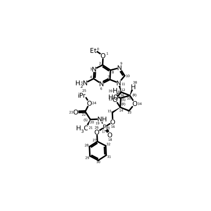 CCOc1nc(N)nc2c1ncn2[C@@H]1O[C@@]2(CO[P@](=O)(N[C@@H](C)C(=O)OC(C)C)Oc3ccccc3)CO[C@@H]1[C@@H]2O